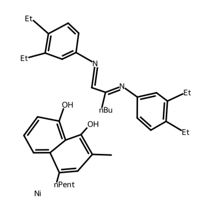 CCCCC(C=Nc1ccc(CC)c(CC)c1)=Nc1ccc(CC)c(CC)c1.CCCCCc1cc(C)c(O)c2c(O)cccc12.[Ni]